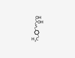 CCc1ccc(CSCC(O)CO)cc1